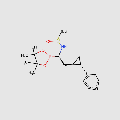 CC(C)(C)[S+]([O-])N[C@@H](C[C@H]1C[C@@H]1c1ccccc1)B1OC(C)(C)C(C)(C)O1